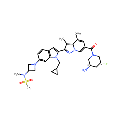 COc1cc(C(=O)N2C[C@H](N)C[C@@H](F)C2)cn2nc(-c3cc4ccc(N5CC(N(C)S(C)(=O)=O)C5)cc4n3CC3CC3)c(C)c12